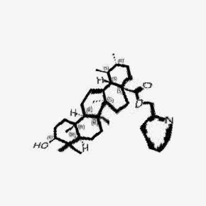 C[C@H]1[C@H](C)CC[C@]2(C(=O)OCc3ccccn3)CC[C@]3(C)C(=CC[C@@H]4[C@@]5(C)CC[C@H](O)C(C)(C)[C@@H]5CC[C@]43C)[C@H]12